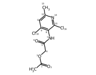 CC(=O)OCC(=O)Nc1c(Cl)cc(C)nc1Cl